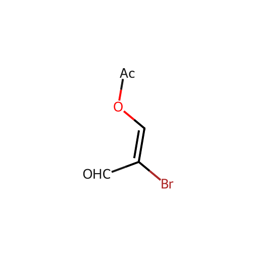 CC(=O)O/C=C(/Br)C=O